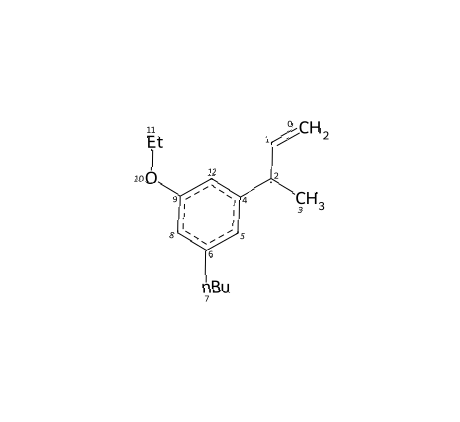 C=C[C](C)c1cc(CCCC)cc(OCC)c1